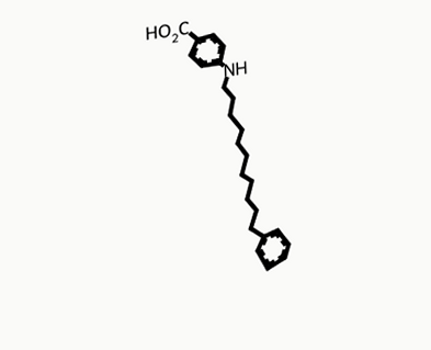 O=C(O)c1ccc(NCCCCCCCCCCCc2ccccc2)cc1